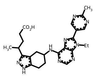 CCn1c(-c2cnc(C)nc2)nc2c(NC3CCc4[nH]nc(C(C)CCC(=O)O)c4C3)ncnc21